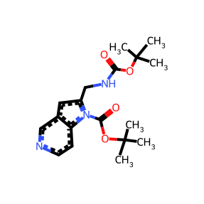 CC(C)(C)OC(=O)NCc1cc2cnccc2n1C(=O)OC(C)(C)C